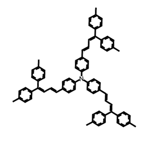 Cc1ccc(C(=CC=Cc2ccc(N(c3ccc(C=CC=C(c4ccc(C)cc4)c4ccc(C)cc4)cc3)c3ccc(C=CC=C(c4ccc(C)cc4)c4ccc(C)cc4)cc3)cc2)c2ccc(C)cc2)cc1